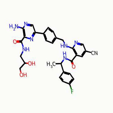 CC(NC(=O)c1cc(C#N)cnc1NCc1ccc(-c2cnc(N)c(C(=O)NCC(O)CO)n2)cc1)c1ccc(F)cc1